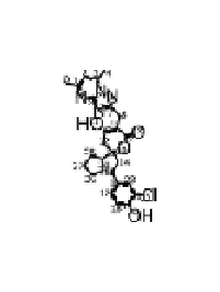 Cc1cc(C)n2nc(CC3=C(O)CC(CCc4ccc(O)c(Cl)c4)(C4CCCC4)OC3=O)nc2n1